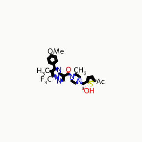 COc1ccc(-c2nc3c(C(=O)N4CCN([C@@H](CO)c5ccc(C(C)=O)s5)C[C@H]4C)cnn3c(C(F)(F)F)c2C)cc1